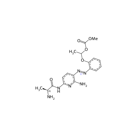 COC(=O)OC(C)Oc1ccccc1/N=N/c1ccc(NC(=O)[C@H](C)N)nc1N